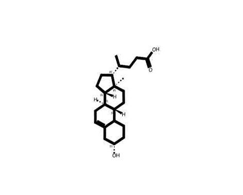 CC(CCC(=O)O)[C@H]1CC[C@H]2[C@@H]3CC=C4C[C@@H](O)CCC4[C@H]3CC[C@]12C